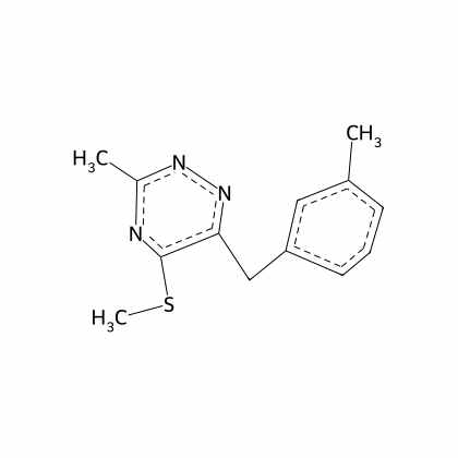 CSc1nc(C)nnc1Cc1cccc(C)c1